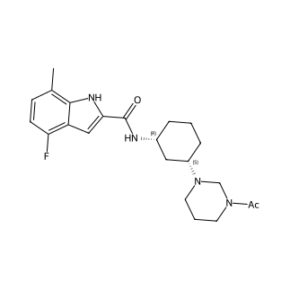 CC(=O)N1CCCN([C@H]2CCC[C@@H](NC(=O)c3cc4c(F)ccc(C)c4[nH]3)C2)C1